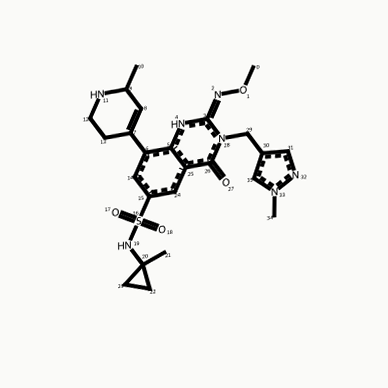 CON=c1[nH]c2c(C3=CC(C)NCC3)cc(S(=O)(=O)NC3(C)CC3)cc2c(=O)n1Cc1cnn(C)c1